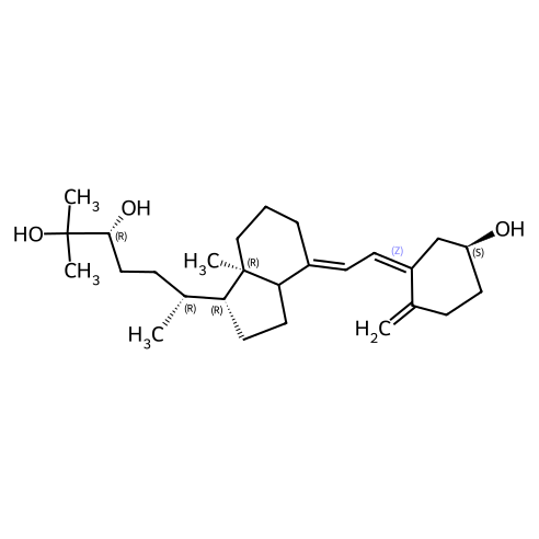 C=C1CC[C@H](O)C/C1=C/C=C1CCC[C@@]2(C)C1CC[C@@H]2[C@H](C)CC[C@@H](O)C(C)(C)O